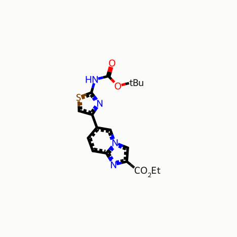 CCOC(=O)c1cn2cc(-c3csc(NC(=O)OC(C)(C)C)n3)ccc2n1